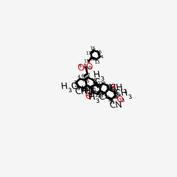 CC1(C)CC[C@]2(CCC(=O)OCc3ccccc3)CC[C@]3(C)[C@@H](C(=O)C=C4[C@@]5(C)C=C(C#N)C(=O)C(C)(C)[C@@H]5CC[C@]43C)C2C1